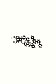 CC1CC(C)(C)c2ccc(-c3cccc(-c4cccc(-n5c6ccccc6c6cc7c8ccccc8n(-c8nc(-c9ccccc9)nc(-c9cccc(-c%10ccccc%10)c9)n8)c7cc65)c4)c3)cc2C1(C)C